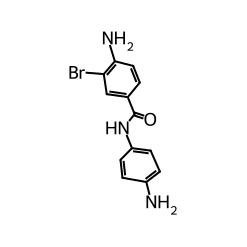 Nc1ccc(NC(=O)c2ccc(N)c(Br)c2)cc1